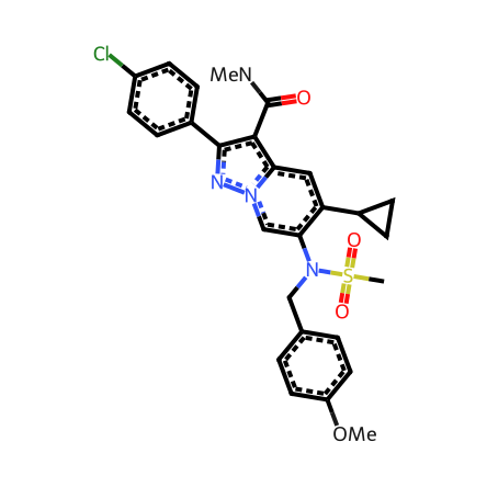 CNC(=O)c1c(-c2ccc(Cl)cc2)nn2cc(N(Cc3ccc(OC)cc3)S(C)(=O)=O)c(C3CC3)cc12